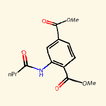 CCCC(=O)Nc1cc(C(=O)OC)ccc1C(=O)OC